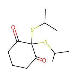 CC(C)SC1(SC(C)C)C(=O)CCCC1=O